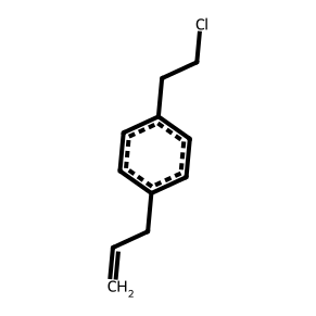 C=CCc1ccc(CCCl)cc1